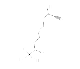 [CH2]C(C#N)CCOCCC(O)C(C)(C)C